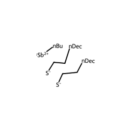 CCCCCCCCCCCC[S-].CCCCCCCCCCCC[S-].CCC[CH2][Sb+2]